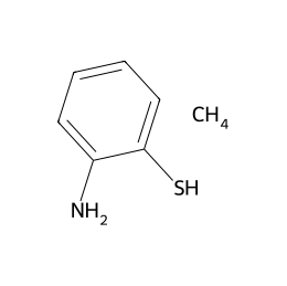 C.Nc1ccccc1S